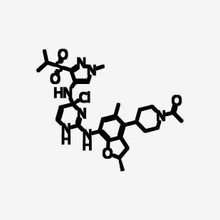 CC(=O)N1CCC(c2c(C)cc(NC3=N[C@@](Cl)(Nc4cn(C)nc4S(=O)(=O)C(C)C)C=CN3)c3c2C[C@@H](C)O3)CC1